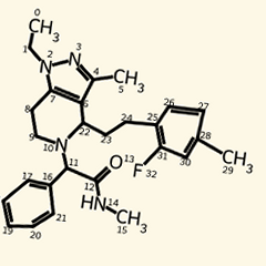 CCn1nc(C)c2c1CCN(C(C(=O)NC)c1ccccc1)C2CCc1ccc(C)cc1F